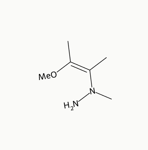 CO/C(C)=C(/C)N(C)N